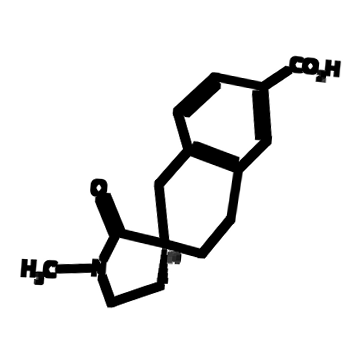 CN1CC[C@]2(CCc3cc(C(=O)O)ccc3C2)C1=O